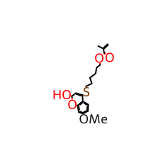 C=C(C)C(=O)OCCCCCCSC1=CC(O)Oc2cc(OC)ccc21